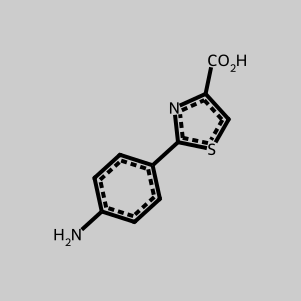 Nc1ccc(-c2nc(C(=O)O)cs2)cc1